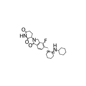 O=C1CCC(N2Cc3c(ccc(C[C@H]4CCCC[C@@H]4NC4CCCCC4)c3F)C2=O)C(=O)N1